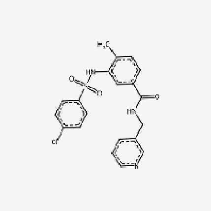 Cc1ccc(C(=O)NCc2cccnc2)cc1NS(=O)(=O)c1ccc(Cl)cc1